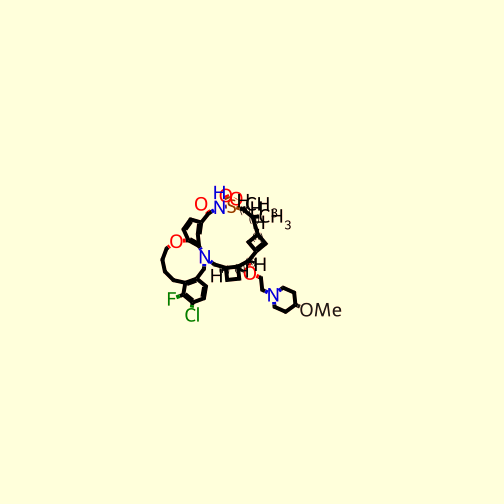 COC1CCN(CCO[C@H]2C3=C[C@@H](C3)[C@H](C)[C@@H](C)S(=O)(=O)NC(=O)c3ccc4c(c3)N(Cc3ccc(Cl)c(F)c3CCCCO4)C[C@@H]3CC[C@H]32)CC1